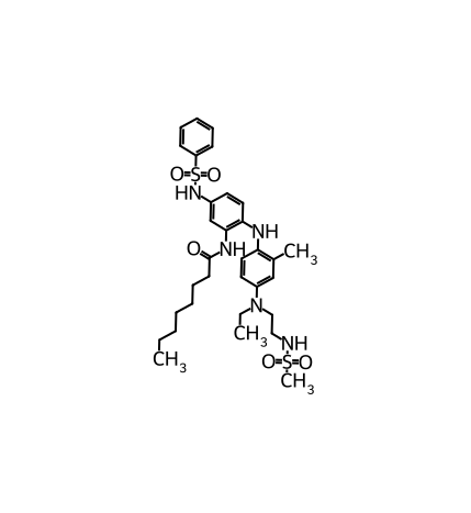 CCCCCCCC(=O)Nc1cc(NS(=O)(=O)c2ccccc2)ccc1Nc1ccc(N(CC)CCNS(C)(=O)=O)cc1C